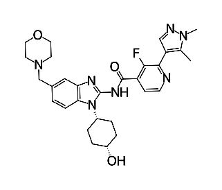 Cc1c(-c2nccc(C(=O)Nc3nc4cc(CN5CCOCC5)ccc4n3[C@H]3CC[C@@H](O)CC3)c2F)cnn1C